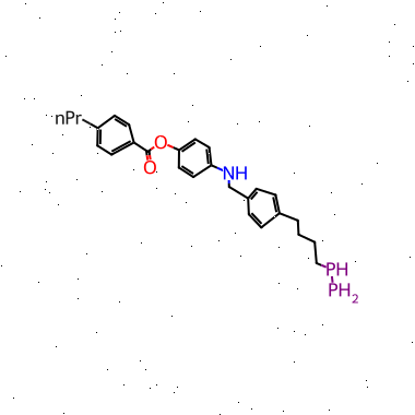 CCCc1ccc(C(=O)Oc2ccc(NCc3ccc(CCCCPP)cc3)cc2)cc1